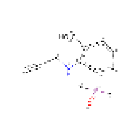 C#CCNc1c(C(=O)O)cccc1P(C)(C)=O